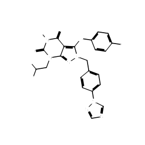 CC(C)Cn1c(=O)n(C)c(=O)c2c(Sc3ccc(F)cc3)n(Cc3ccc(-n4cncn4)cc3)nc21